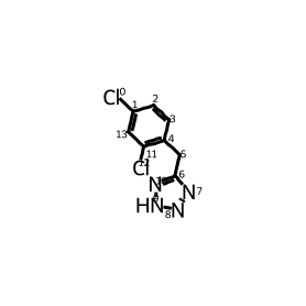 Clc1ccc(Cc2nn[nH]n2)c(Cl)c1